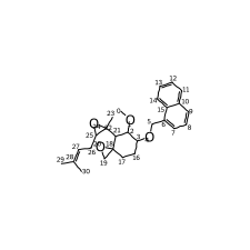 COC1C(OCc2cccc3ccccc23)CCC2(CO2)C1C1(C)OC1CC=C(C)C